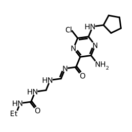 CCNC(=O)NCNC=NC(=O)c1nc(Cl)c(NC2CCCC2)nc1N